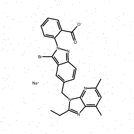 CCc1nc2c(C)cc(C)nc2n1Cc1ccc2nn(-c3ccccc3C(=O)[O-])c(Br)c2c1.[Na+]